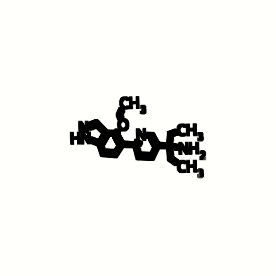 CCOc1c(-c2ccc(C(N)(CC)CC)cn2)ccc2[nH]ncc12